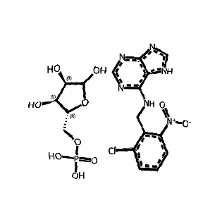 O=P(O)(O)OC[C@H]1OC(O)[C@H](O)[C@@H]1O.O=[N+]([O-])c1cccc(Cl)c1CNc1ncnc2nc[nH]c12